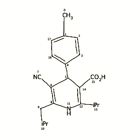 Cc1ccc(C2C(C#N)=C(CC(C)C)NC(C(C)C)=C2C(=O)O)cc1